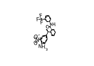 C=C(c1ccc(N)c([N+](=O)[O-])c1)c1ccccc1C(=O)Nc1cccc(C(F)(F)F)c1